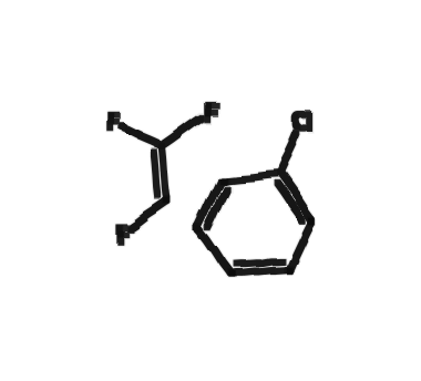 Clc1ccccc1.FC=C(F)F